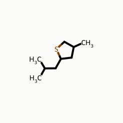 CC(C)CC1CC(C)CS1